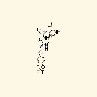 CN/C(=C\C=C\c1ccc(OC(F)(F)F)cc1)C(=O)N/C(C=O)=C\c1nc[nH]c1C(C)(C)C